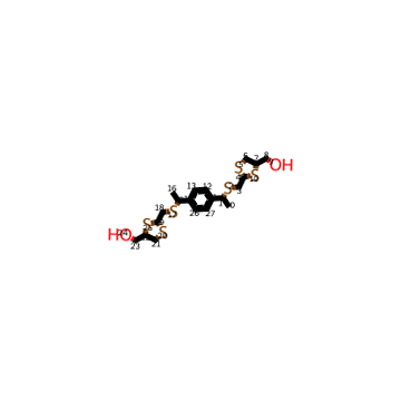 CC(SCC1SCC(CO)S1)c1ccc(C(C)SCC2SCC(CO)S2)cc1